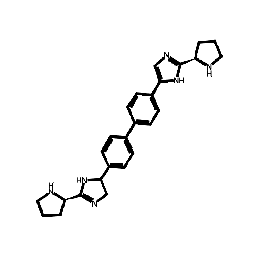 c1cc(-c2cnc([C@H]3CCCN3)[nH]2)ccc1-c1ccc(C2CN=C([C@H]3CCCN3)N2)cc1